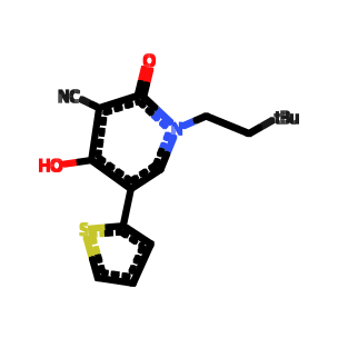 CC(C)(C)CCn1cc(-c2cccs2)c(O)c(C#N)c1=O